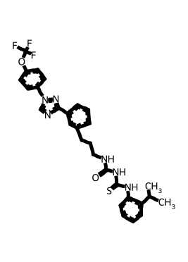 CC(C)c1ccccc1NC(=S)NC(=O)NCCCc1cccc(-c2ncn(-c3ccc(OC(F)(F)F)cc3)n2)c1